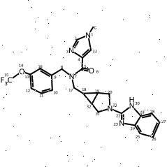 Cn1cnc(C(=O)N(Cc2cccc(OC(F)(F)F)c2)CC2C3CN(c4nc5ccccc5[nH]4)CC23)c1